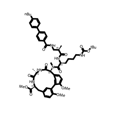 CCCCc1ccc(-c2ccc(C(=O)NC[C@@H](C)C(=O)N[C@@H](CCCCNC(=O)OC(C)(C)C)C(=O)N(C)[C@@H]3C(=O)N[C@@H](C)C(=O)N[C@H](C(=O)OC)Cc4ccc(OC)c(c4)-c4cc3ccc4OC)cc2)cc1